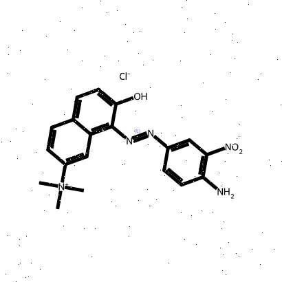 C[N+](C)(C)c1ccc2ccc(O)c(/N=N/c3ccc(N)c([N+](=O)[O-])c3)c2c1.[Cl-]